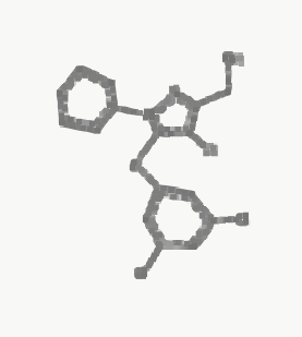 CCc1c(CO)nn(-c2ccccc2)c1Oc1cc(Cl)cc(Cl)c1